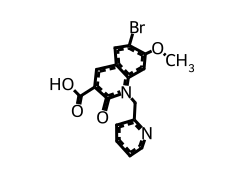 COc1cc2c(cc1Br)cc(C(=O)O)c(=O)n2Cc1ccccn1